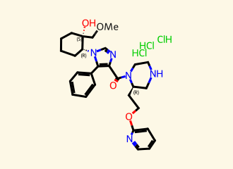 COC[C@]1(O)CCCC[C@H]1n1cnc(C(=O)N2CCNC[C@H]2CCOc2ccccn2)c1-c1ccccc1.Cl.Cl.Cl